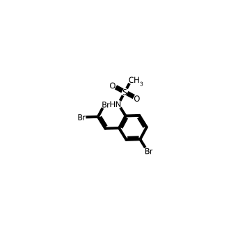 CS(=O)(=O)Nc1ccc(Br)cc1C=C(Br)Br